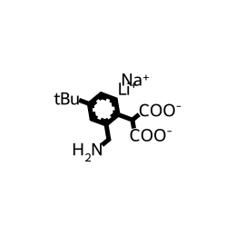 CC(C)(C)c1ccc(C(C(=O)[O-])C(=O)[O-])c(CN)c1.[Li+].[Na+]